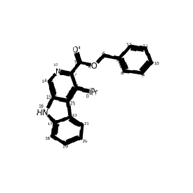 CC(C)c1c(C(=O)OCc2ccccc2)ncc2[nH]c3ccccc3c12